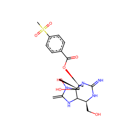 C=C1NC2[C@H](CO)NC(=N)N3C[C@H](OC(=O)c4ccc(S(C)(=O)=O)cc4)[C@](C)(O)C23N1O